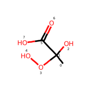 CC(O)(OO)C(=O)O